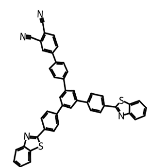 N#Cc1ccc(-c2ccc(-c3cc(-c4ccc(-c5nc6ccccc6s5)cc4)cc(-c4ccc(-c5nc6ccccc6s5)cc4)c3)cc2)cc1C#N